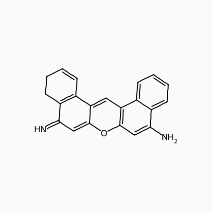 N=c1cc2oc3cc(N)c4ccccc4c3cc-2c2c1CCC=C2